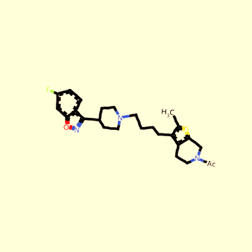 CC(=O)N1CCc2c(sc(C)c2CCCCN2CCC(c3noc4cc(F)ccc34)CC2)C1